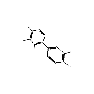 O=C(O)c1ccc(-c2ccc(C(=O)O)c(C(=O)O)c2C(F)(F)F)cc1C(=O)O